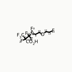 O=C(O)C(F)(C(F)(F)F)C(F)(F)N(F)CCOCCF